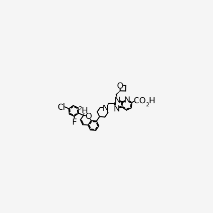 [2H][C@]1(c2ccc(Cl)cc2F)C=Cc2cccc(C3CCN(Cc4nc5ccc(C(=O)O)nc5n4C[C@@H]4CCO4)CC3)c2O1